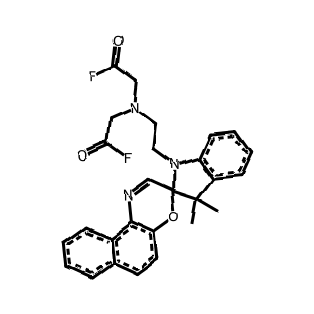 CC1(C)c2ccccc2N(CCN(CC(=O)F)CC(=O)F)C12C=Nc1c(ccc3ccccc13)O2